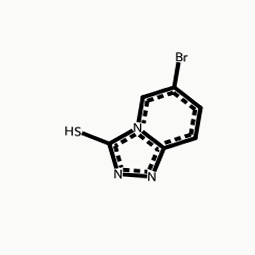 Sc1nnc2ccc(Br)cn12